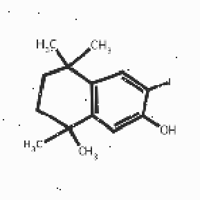 CC1(C)CCC(C)(C)c2cc(I)c(O)cc21